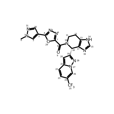 Cn1cc(-c2nnc(C(=O)N3CCc4[nH]cnc4[C@@H]3c3cc4ccc(C(F)(F)F)cn4n3)o2)cn1